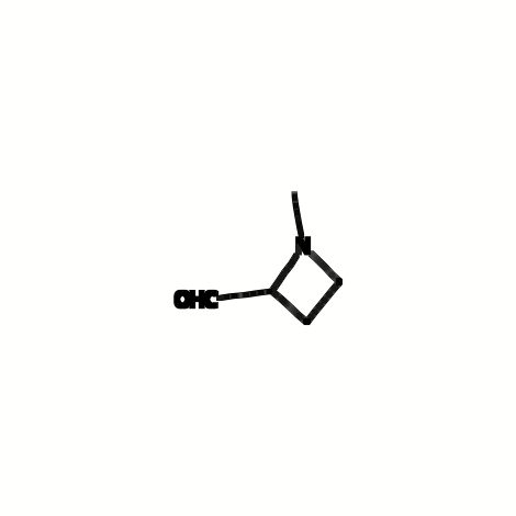 CN1CCC1C=O